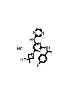 CC(Nc1nc(Nc2cnccn2)cc(N2CC(C)(O)C2)n1)c1ccc(F)cc1.Cl